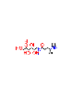 CCN[C@@H](CCC(=O)NC[C@H](O)[C@@H](O)[C@H](O)[C@H](O)CO)C(C)=O